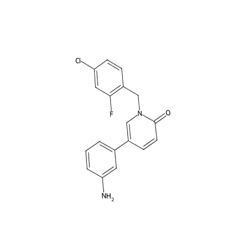 Nc1cccc(-c2ccc(=O)n(Cc3ccc(Cl)cc3F)c2)c1